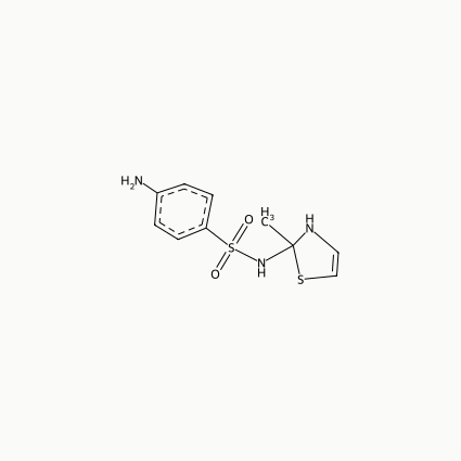 CC1(NS(=O)(=O)c2ccc(N)cc2)NC=CS1